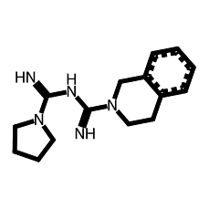 N=C(NC(=N)N1CCc2ccccc2C1)N1CCCC1